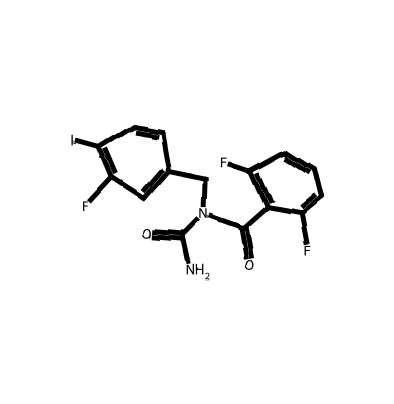 NC(=O)N(Cc1ccc(I)c(F)c1)C(=O)c1c(F)cccc1F